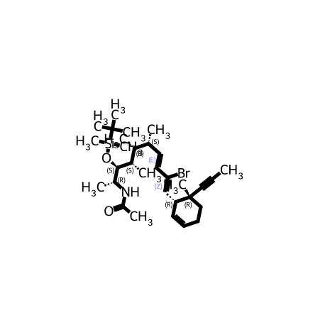 CC#C[C@]1(C)CCC=C[C@@H]1/C=C(Br)/C=C/[C@@H](C)[C@@H](C)[C@H](C)[C@H](O[Si](C)(C)C(C)(C)C)[C@@H](C)NC(C)=O